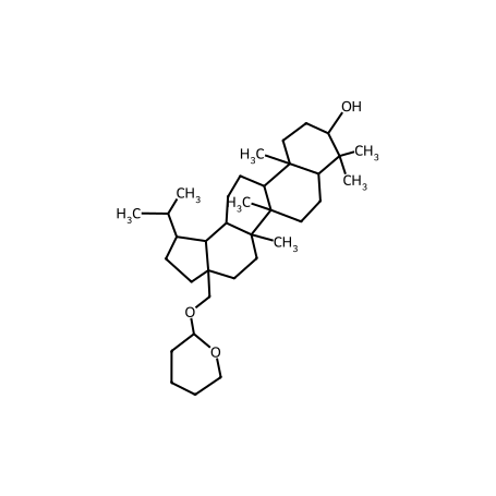 CC(C)C1CCC2(COC3CCCCO3)CCC3(C)C(CCC4C5(C)CCC(O)C(C)(C)C5CCC43C)C12